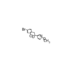 COc1ccc(C(=O)Cc2ccc(Br)cc2Cl)cn1